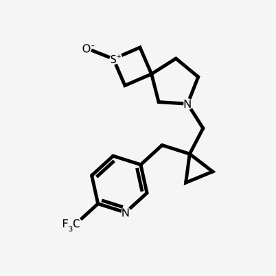 [O-][S+]1CC2(CCN(CC3(Cc4ccc(C(F)(F)F)nc4)CC3)C2)C1